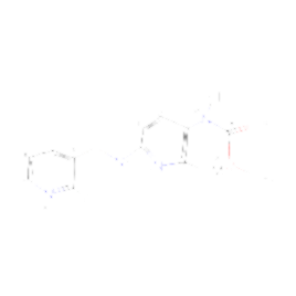 COc1nc(NSc2cccnc2Cl)ccc1N(C)C(=O)OC(C)(C)C